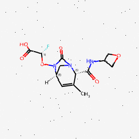 CC1=C[C@@H]2CN(C(=O)N2O[C@@H](F)C(=O)O)[C@@H]1C(=O)NC1COC1